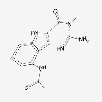 CC(=O)Nc1cccc2[nH]c(C(=O)N(C)C(=N)N)cc12